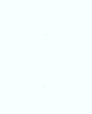 N=C(SC(=N)c1cc(-c2cc(-c3ccccc3)nc(-c3ccccc3)n2)ccc1-c1ccccc1)c1ccccc1-c1ccccc1